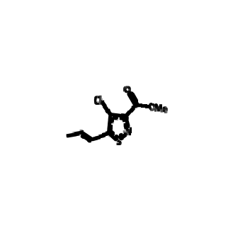 CC=Cc1snc(C(=O)OC)c1Cl